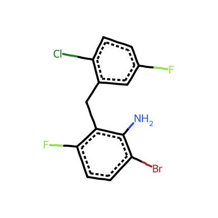 Nc1c(Br)ccc(F)c1Cc1cc(F)ccc1Cl